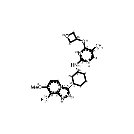 COc1ccn2c([C@H]3CCC[C@@H](Nc4ncc(C(F)(F)F)c(OC5COC5)n4)C3)nnc2c1C(F)(F)F